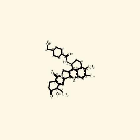 CC[C@@]1(O)C(=O)CCc2c1cc1n(c2=O)Cc2c-1nc1cc(F)c(C)c3c1c2[C@@H](NC(=O)C1CCC(CO)CC1)CC3